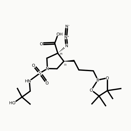 CC(C)(O)CNS(=O)(=O)N1C[C@H](CCCB2OC(C)(C)C(C)(C)O2)[C@](N=[N+]=[N-])(C(=O)O)C1